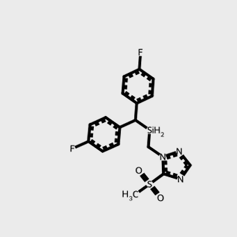 CS(=O)(=O)c1ncnn1C[SiH2]C(c1ccc(F)cc1)c1ccc(F)cc1